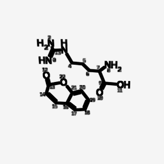 N=C(N)NCCCC(N)C(=O)O.O=c1ccc2ccccc2o1